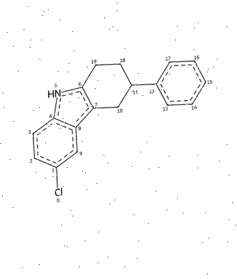 Clc1ccc2[nH]c3c(c2c1)CC(c1ccccc1)CC3